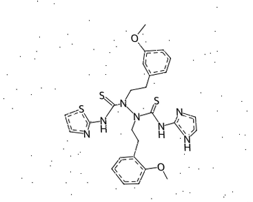 COc1cccc(CCN(C(=S)Nc2nccs2)N(CCc2ccccc2OC)C(=S)Nc2ncc[nH]2)c1